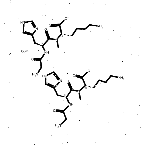 CN(C(=O)[C@H](Cc1c[nH]cn1)NC(=O)CN)[C@@H](CCCCN)C(=O)[O-].CN(C(=O)[C@H](Cc1c[nH]cn1)NC(=O)CN)[C@@H](CCCCN)C(=O)[O-].[Cu+2]